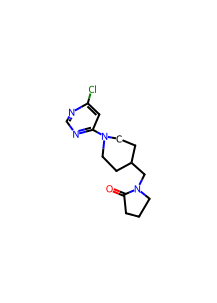 O=C1CCCN1CC1CCN(c2cc(Cl)ncn2)CC1